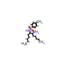 CCCCCC(N)C(CCCCC)NS(=O)(=O)c1ccc(C)cc1